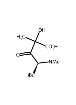 CCC(C)[C@H](NC)C(=O)C(C)(O)C(=O)O